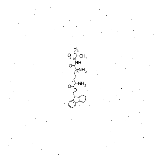 CC(C)[C@@H]([C]=O)NC(=O)[C@@H](N)CCCC(N)C(=O)OCC1c2ccccc2-c2ccccc21